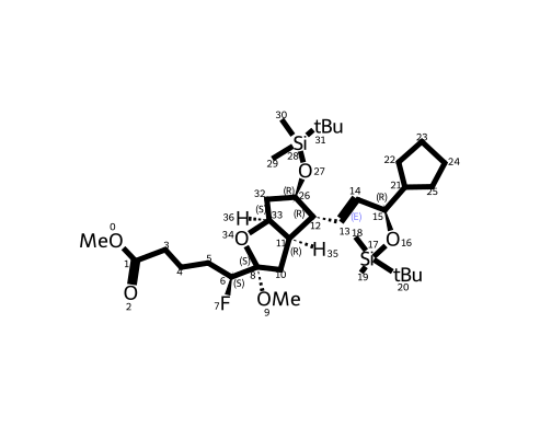 COC(=O)CCC[C@H](F)[C@]1(OC)C[C@@H]2[C@@H](/C=C/[C@H](O[Si](C)(C)C(C)(C)C)C3CCCC3)[C@H](O[Si](C)(C)C(C)(C)C)C[C@@H]2O1